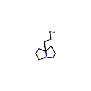 CNCCC12CCCN1CCC2